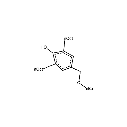 CCCCCCCCc1cc(COCCCC)cc(CCCCCCCC)c1O